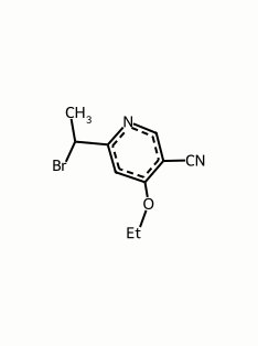 CCOc1cc(C(C)Br)ncc1C#N